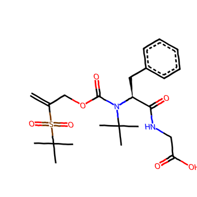 C=C(COC(=O)N([C@@H](Cc1ccccc1)C(=O)NCC(=O)O)C(C)(C)C)S(=O)(=O)C(C)(C)C